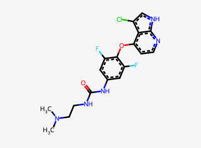 CN(C)CCNC(=O)Nc1cc(F)c(Oc2ccnc3[nH]cc(Cl)c23)c(F)c1